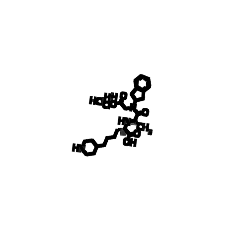 C[C@H](N[C@@H](CCCCC1CCNCC1)C(=O)O)C(=O)N(CC(=O)O)C1Cc2ccccc2C1.Cl.Cl